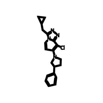 Clc1c(N2CCC(c3ccccc3)C2)ccn2c(CC3CC3)nnc12